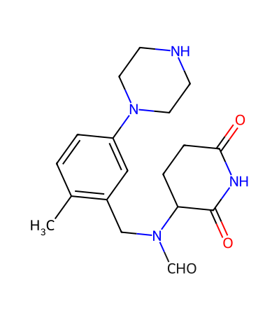 Cc1ccc(N2CCNCC2)cc1CN(C=O)C1CCC(=O)NC1=O